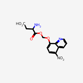 NC(CC(=O)O)C(=O)OCOc1ccc([N+](=O)[O-])c2cccnc12